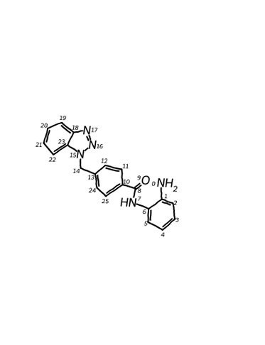 Nc1ccccc1NC(=O)c1ccc(Cn2nnc3ccccc32)cc1